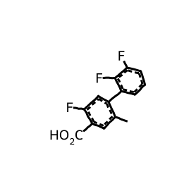 Cc1cc(C(=O)O)c(F)cc1-c1cccc(F)c1F